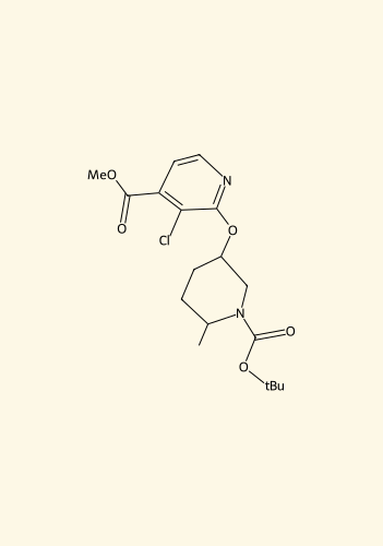 COC(=O)c1ccnc(OC2CCC(C)N(C(=O)OC(C)(C)C)C2)c1Cl